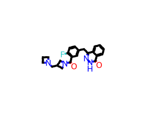 O=C(c1cc(Cc2n[nH]c(=O)c3ccccc23)ccc1F)N1CC(CN2CCC2)C1